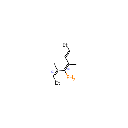 CCC=C/C(C)=C(P)\C(C)=C/CC